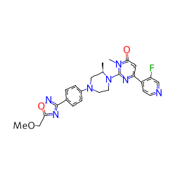 COCc1nc(-c2ccc(N3CCN(c4nc(-c5ccncc5F)cc(=O)n4C)[C@H](C)C3)cc2)no1